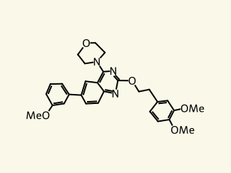 COc1cccc(-c2ccc3nc(OCCc4ccc(OC)c(OC)c4)nc(N4CCOCC4)c3c2)c1